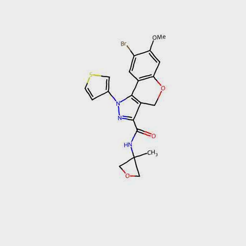 COc1cc2c(cc1Br)-c1c(c(C(=O)NC3(C)COC3)nn1-c1ccsc1)CO2